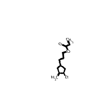 C=CC(=O)OCCCC1CC(=C)C(CC)C1